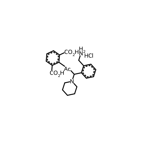 CC(=O)C(c1ccccc1CN)N1CCCCC1.Cc1c(C(=O)O)cccc1C(=O)O.Cl